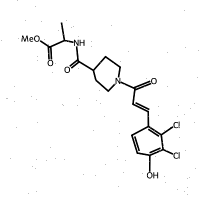 COC(=O)C(C)NC(=O)C1CCN(C(=O)/C=C/c2ccc(O)c(Cl)c2Cl)CC1